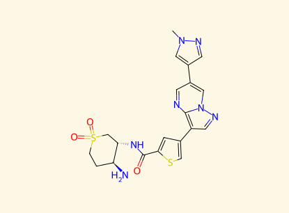 Cn1cc(-c2cnc3c(-c4csc(C(=O)N[C@H]5CS(=O)(=O)CC[C@@H]5N)c4)cnn3c2)cn1